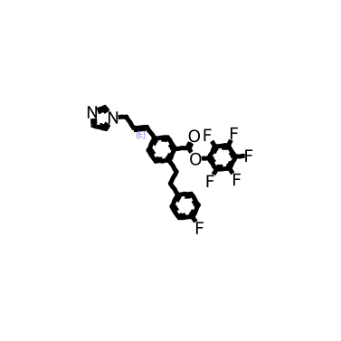 O=C(Oc1c(F)c(F)c(F)c(F)c1F)c1cc(/C=C/Cn2ccnc2)ccc1CCc1ccc(F)cc1